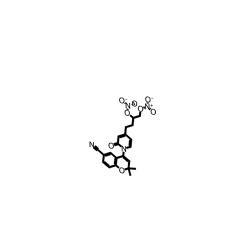 CC1(C)C=C(n2ccc(CCC(CO[N+](=O)[O-])O[N+](=O)[O-])cc2=O)c2cc(C#N)ccc2O1